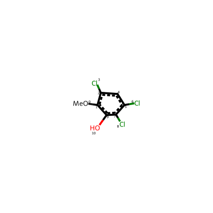 COc1c(Cl)cc(Cl)c(Cl)c1O